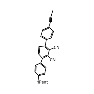 CC#Cc1ccc(-c2ccc(-c3ccc(CCCCC)cc3)c(C#N)c2C#N)cc1